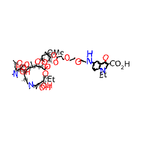 CC[C@H]1OC(=O)[C@H](C)[C@@H](O[C@H]2C[C@@](C)(OC)[C@@H](OC(=O)CCOCCOCCNc3ccc4c(c3)c(=O)c(C(=O)O)cn4CC)[C@H](C)O2)[C@H](C)[C@@H](O[C@@H]2O[C@H](C)C[C@H](N(C)C)[C@H]2O)[C@](C)(O)C[C@@H](C)CN(C)[C@H](C)[C@@H](O)[C@]1(C)O